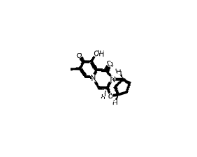 Cc1cn2c(c(O)c1=O)C(=O)N1[C@@H]3CC[C@@H](C3)O[C@H]1C2